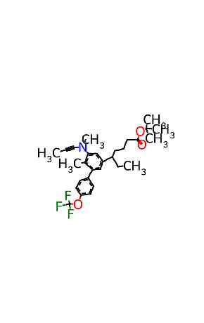 CC#CN(C)c1cc(C(CC)CCCC(=O)OC(C)(C)C)cc(-c2ccc(OC(F)(F)F)cc2)c1C